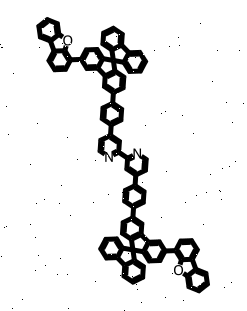 c1ccc2c(c1)-c1ccccc1C21c2ccc(-c3ccc(-c4ccnc(-c5cc(-c6ccc(-c7ccc8c(c7)-c7cc(-c9cccc%10c9oc9ccccc9%10)ccc7C87c8ccccc8-c8ccccc87)cc6)ccn5)c4)cc3)cc2-c2cc(-c3cccc4c3oc3ccccc34)ccc21